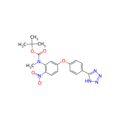 CN(C(=O)OC(C)(C)C)c1cc(Oc2ccc(-c3nnn[nH]3)cc2)ccc1[N+](=O)[O-]